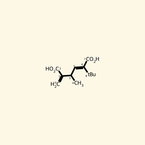 C=C(C(=O)O)C(C)C=C(C(=O)O)C(C)(C)C